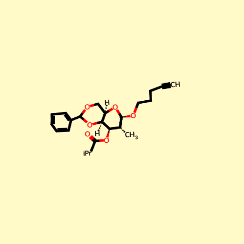 C#CCCCO[C@@H]1O[C@@H]2COC(c3ccccc3)O[C@@H]2[C@H](OC(=O)C(C)C)[C@H]1C